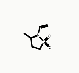 C=CN1C(C)CCS1(=O)=O